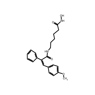 COc1ccc(C=C(C(=O)NCCCCCC(=O)NO)c2ccccc2)cc1